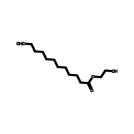 O=CCCCCCCCCCCC(=O)OCCO